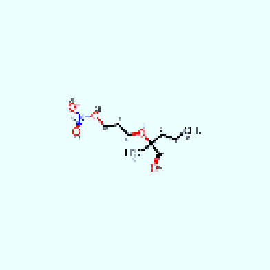 CCCC(C)(C=O)OCCCO[N+](=O)[O-]